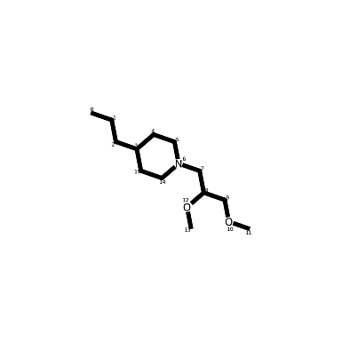 CCCC1CCN(CC(COC)OC)CC1